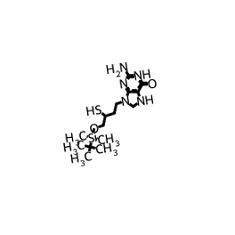 CC(C)(C)[Si](C)(C)OCC(S)CCN1CNc2c1nc(N)[nH]c2=O